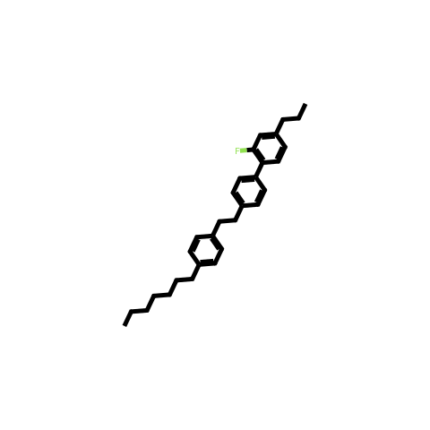 CCCCCCCc1ccc(CCc2ccc(-c3ccc(CCC)cc3F)cc2)cc1